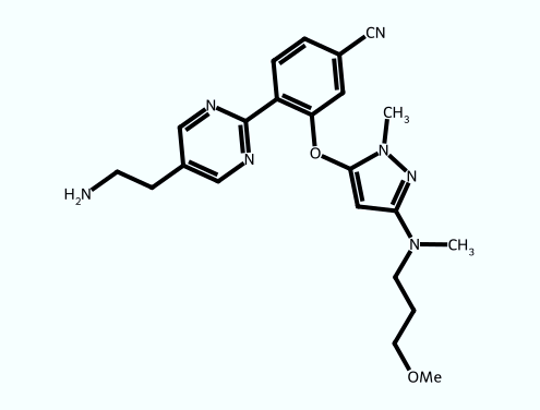 COCCCN(C)c1cc(Oc2cc(C#N)ccc2-c2ncc(CCN)cn2)n(C)n1